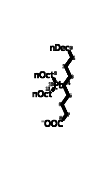 CCCCCCCCCCCCCCCCCC(=O)[O-].CCCCCCC[CH2][Pb+][CH2]CCCCCCC